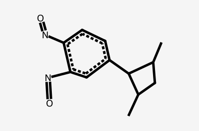 CC1CC(C)C1c1ccc(N=O)c(N=O)c1